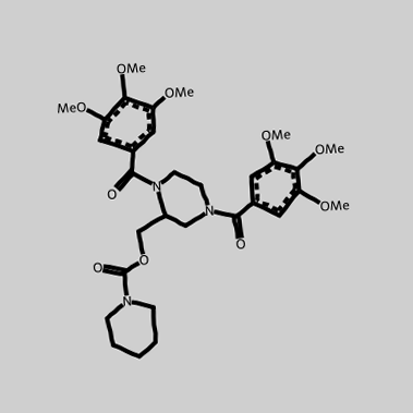 COc1cc(C(=O)N2CCN(C(=O)c3cc(OC)c(OC)c(OC)c3)C(COC(=O)N3CCCCC3)C2)cc(OC)c1OC